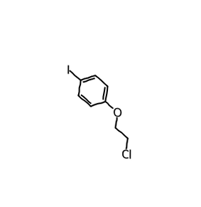 ClCCOc1ccc(I)cc1